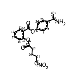 NC(=S)c1ccc(OC(=O)c2ccccc2OC(=O)CCCO[N+](=O)[O-])cc1